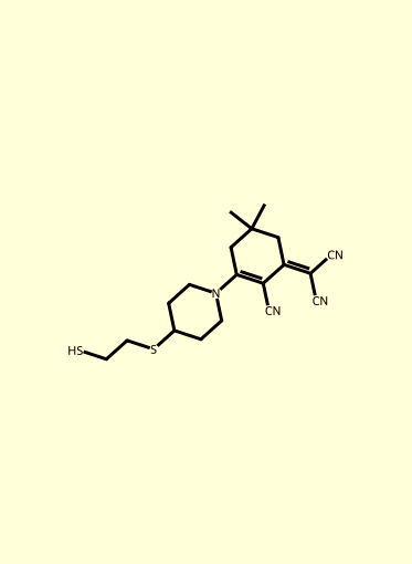 CC1(C)CC(=C(C#N)C#N)C(C#N)=C(N2CCC(SCCS)CC2)C1